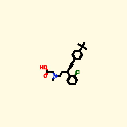 CN(CC=C(C#Cc1ccc(C(C)(C)C)cc1)c1ccccc1Cl)CC(=O)O